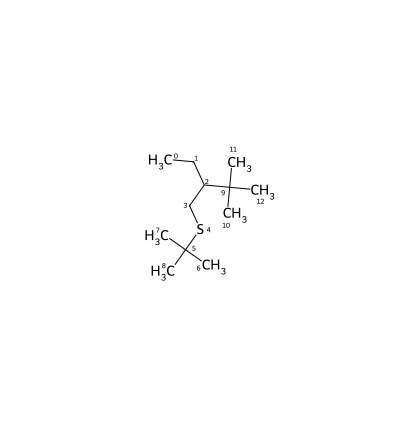 CCC(CSC(C)(C)C)C(C)(C)C